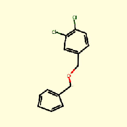 Clc1ccc(CO[CH]c2ccccc2)cc1Cl